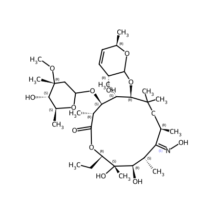 CC[C@H]1OC(=O)[C@H](C)[C@@H](OC2C[C@@](C)(OC)[C@@H](O)[C@H](C)O2)[C@H](C)[C@@H](OC2O[C@H](C)C=C[C@H]2O)C(C)(C)C[C@@H](C)/C(=N\O)[C@H](C)[C@@H](O)[C@]1(C)O